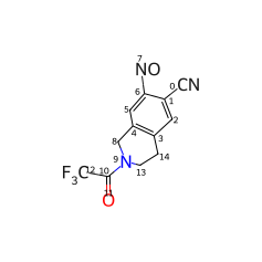 N#Cc1cc2c(cc1N=O)CN(C(=O)C(F)(F)F)CC2